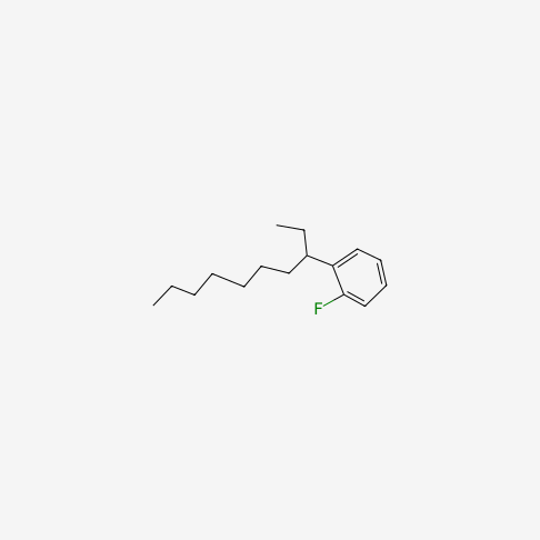 CCCCCCCC(CC)c1ccccc1F